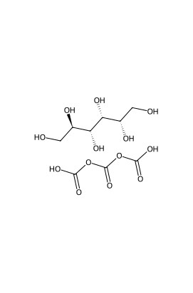 O=C(O)OC(=O)OC(=O)O.OC[C@@H](O)[C@@H](O)[C@H](O)[C@@H](O)CO